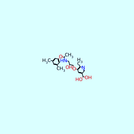 Cc1cc(C)cc(OC(C)NCC(O)COc2cc(C(O)O)cnc2C)c1